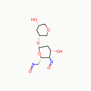 O=NC[C@@H]1O[C@H](O[C@H]2COC[C@@H](O)C2)C[C@H](O)[C@H]1N=O